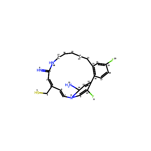 N=C1/C=C(CS)\C=C\N2C=C(F)C(=CC2N)c2ccc(F)cc2CCCCCN1